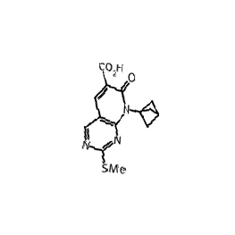 CSc1ncc2cc(C(=O)O)c(=O)n(C34CC(C3)C4)c2n1